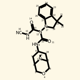 CN1C2COCC1CC(NC(=O)N(C(=O)NC#N)N1CC(C)(C)c3ccccc31)C2